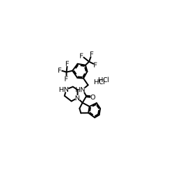 Cl.Cl.O=C(NCc1cc(C(F)(F)F)cc(C(F)(F)F)c1)C1(N2CCNCC2)CCc2ccccc21